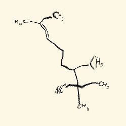 CC(C)=CCCC(C)C(C)(C)C#N